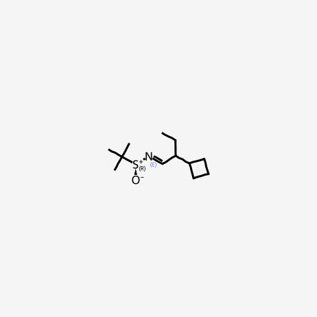 CCC(/C=N/[S@@+]([O-])C(C)(C)C)C1CCC1